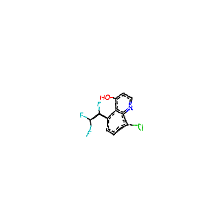 Oc1ccnc2c(Cl)ccc(C(F)C(F)F)c12